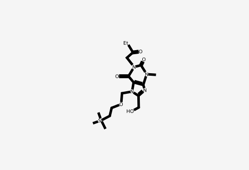 CCC(=O)Cn1c(=O)c2c(nc(CO)n2COCC[Si](C)(C)C)n(C)c1=O